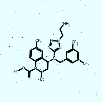 CC[C@@H]1C[C@H](N(Cc2cc(C(F)(F)F)cc(C(F)(F)F)c2)c2nnn(CCN)n2)c2cc(C(F)(F)F)ccc2N1C(=O)OC(C)C